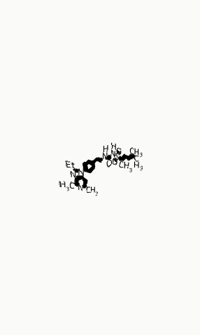 CCc1nc2c(C)nc(C)cc2n1-c1ccc(CCNC(=O)NS(=O)(=O)/C(C)=C/C=C(C)C)cc1